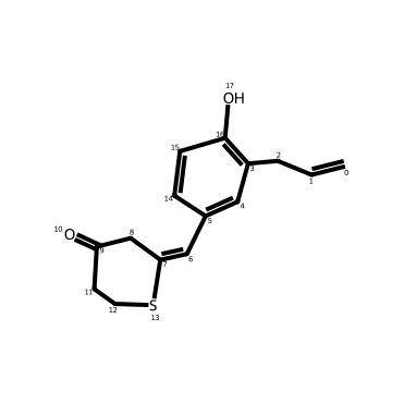 C=CCc1cc(C=C2CC(=O)CCS2)ccc1O